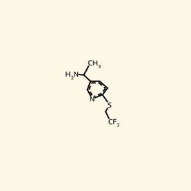 CC(N)c1ccc(SCC(F)(F)F)nc1